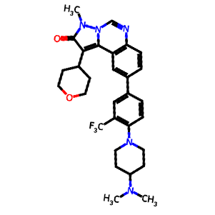 CN(C)C1CCN(c2ccc(-c3ccc4ncn5c(c(C6CCOCC6)c(=O)n5C)c4c3)cc2C(F)(F)F)CC1